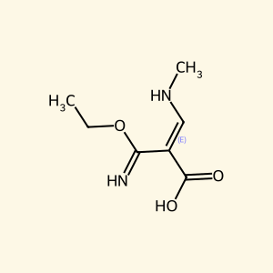 CCOC(=N)/C(=C\NC)C(=O)O